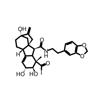 C=C1C[C@]23C[C@@]1(O)CC[C@H]2C1=C[C@@H](O)[C@H](O)[C@@](C)(C(=O)I)C1[C@@H]3C(=O)NCCc1ccc2c(c1)OCO2